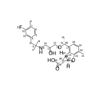 Cc1ccc(CC(C)(C)NCC(O)CO[C@H](C)c2ccc(C)c3c2[C@H]2[C@@H](O3)[C@@H]2C(=O)O)cc1F